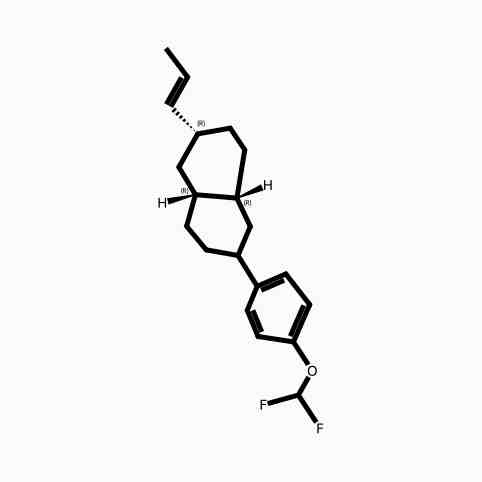 CC=C[C@@H]1CC[C@@H]2CC(c3ccc(OC(F)F)cc3)CC[C@@H]2C1